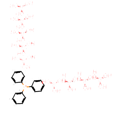 OB(O)O.OB(O)O.OB(O)O.OB(O)O.OB(O)O.OB(O)O.OB(O)O.OB(O)O.OB(O)O.c1ccc(P(c2ccccc2)c2ccccc2)cc1